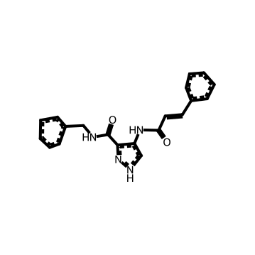 O=C(C=Cc1ccccc1)Nc1c[nH]nc1C(=O)NCc1ccccc1